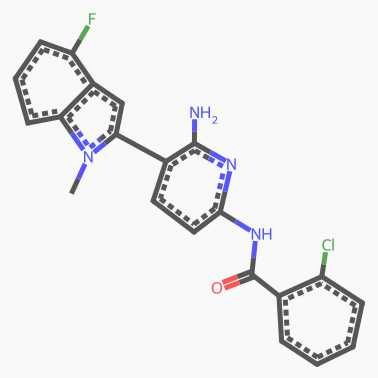 Cn1c(-c2ccc(NC(=O)c3ccccc3Cl)nc2N)cc2c(F)cccc21